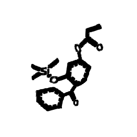 C=CC(=O)Oc1ccc(C(=O)c2ccccc2)c(O[Si](C)(C)C)c1